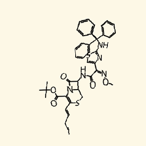 CO/N=C(\C(=O)NC1C(=O)N2C(C(=O)OC(C)(C)C)=C(/C=C/CI)SCC12)c1csc(NC(c2ccccc2)(c2ccccc2)c2ccccc2)n1